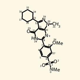 CNS(=O)(=O)c1ccc(-c2nc3c(c(C4CCCCC4)nn3C)c(=O)[nH]2)c(OC)c1